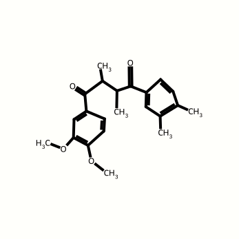 COc1ccc(C(=O)C(C)C(C)C(=O)c2ccc(C)c(C)c2)cc1OC